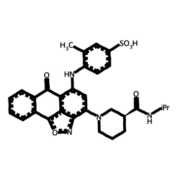 Cc1cc(S(=O)(=O)O)ccc1Nc1cc(N2CCC[C@H](C(=O)NC(C)C)C2)c2noc3c2c1C(=O)c1ccccc1-3